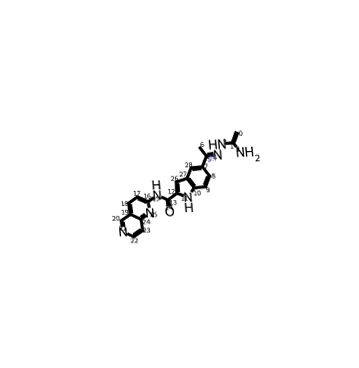 C=C(N)N/N=C(\C)c1ccc2[nH]c(C(=O)Nc3ccc4cnccc4n3)cc2c1